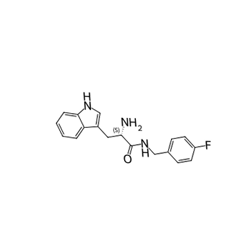 N[C@@H](Cc1c[nH]c2ccccc12)C(=O)NCc1ccc(F)cc1